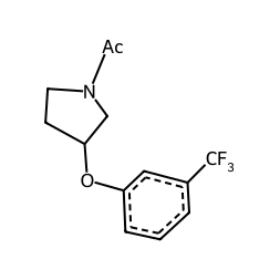 CC(=O)N1CCC(Oc2cccc(C(F)(F)F)c2)C1